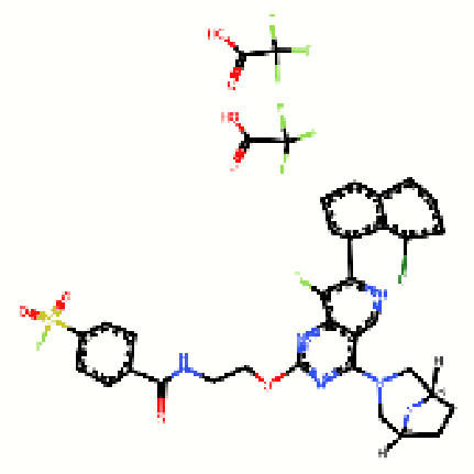 O=C(NCCOc1nc(N2C[C@H]3CC[C@@H](C2)N3)c2cnc(-c3cccc4cccc(Cl)c34)c(F)c2n1)c1ccc(S(=O)(=O)F)cc1.O=C(O)C(F)(F)F.O=C(O)C(F)(F)F